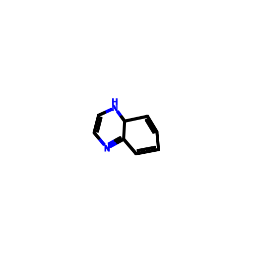 C1=CC2=NC=CNC2C=C1